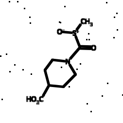 C[S+]([O-])C(=O)N1CCC(C(=O)O)CC1